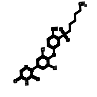 CCCCCCS(=O)(=O)c1cc(Oc2c(Cl)cc(-n3ncc(=O)[nH]c3=O)cc2Cl)ccc1O